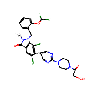 Cn1c(=O)c2cc(F)c(-c3cnc(N4CCN(C(=O)CO)CC4)nc3)c(F)c2n1Cc1ccccc1OC(F)F